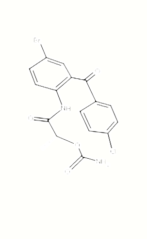 C[C@@H](OC(N)=O)C(=O)Nc1ccc(Br)cc1C(=O)c1ccc(Cl)cc1